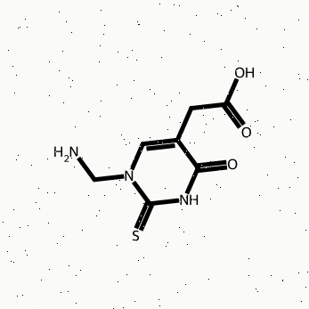 NCn1cc(CC(=O)O)c(=O)[nH]c1=S